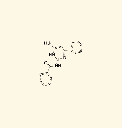 NC1=CC(c2ccccc2)=NN(NC(=O)c2ccccc2)N1